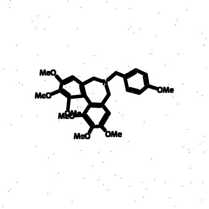 COc1ccc(CN2Cc3cc(OC)c(OC)c(OC)c3-c3c(cc(OC)c(OC)c3OC)C2)cc1